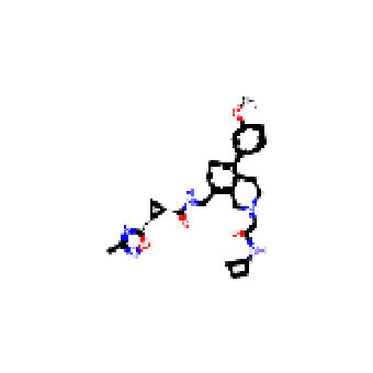 Cc1noc([C@@H]2C[C@H]2C(=O)NCc2ccc(-c3cccc(OC(F)(F)F)c3)c3c2CN(CC(=O)NC2CCC2)CC3)n1